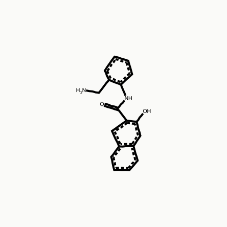 NCc1ccccc1NC(=O)c1cc2ccccc2cc1O